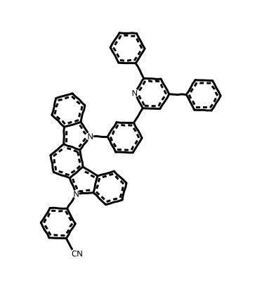 N#Cc1cccc(-n2c3ccccc3c3c2ccc2c4ccccc4n(-c4cccc(-c5cc(-c6ccccc6)cc(-c6ccccc6)n5)c4)c23)c1